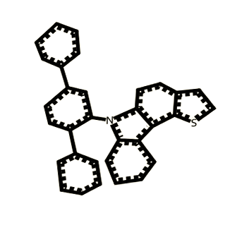 c1ccc(-c2ccc(-c3ccccc3)c(-n3c4ccccc4c4c5sccc5ccc43)c2)cc1